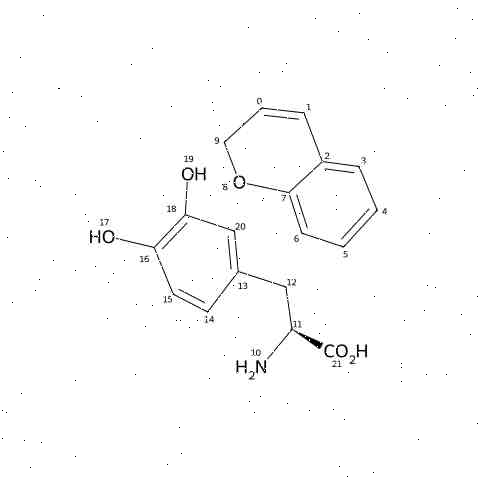 C1=Cc2ccccc2OC1.N[C@@H](Cc1ccc(O)c(O)c1)C(=O)O